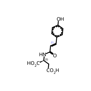 O=C(O)C[C@H](NC(=O)/C=C/c1ccc(O)cc1)C(=O)O